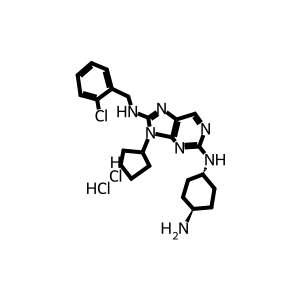 Cl.Cl.N[C@H]1CC[C@H](Nc2ncc3nc(NCc4ccccc4Cl)n(C4CCCC4)c3n2)CC1